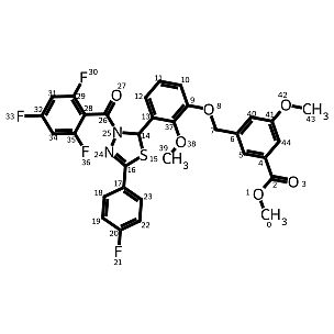 COC(=O)c1cc(COc2cccc(C3SC(c4ccc(F)cc4)=NN3C(=O)c3c(F)cc(F)cc3F)c2OC)cc(OC)c1